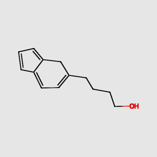 OCCCCC1=CC=C2C=CC=C2C1